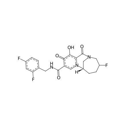 O=C(NCc1ccc(F)cc1F)c1cn2c(c(O)c1=O)C(=O)N1CC(F)CC[C@H]2C1